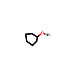 CC(C)(C)OC1[CH]CCCC1